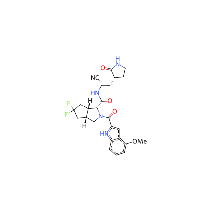 COc1cccc2[nH]c(C(=O)N3C[C@@H]4CC(F)(F)C[C@@H]4[C@@H]3C(=O)N[C@H](C#N)C[C@H]3CCNC3=O)cc12